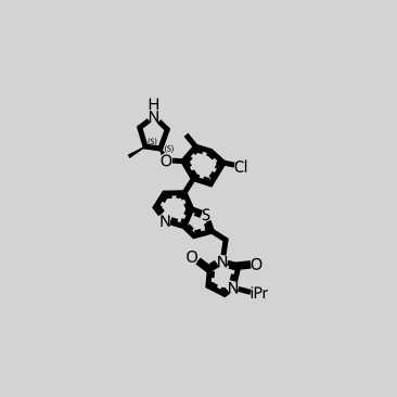 Cc1cc(Cl)cc(-c2ccnc3cc(Cn4c(=O)ccn(C(C)C)c4=O)sc23)c1O[C@@H]1CNC[C@@H]1C